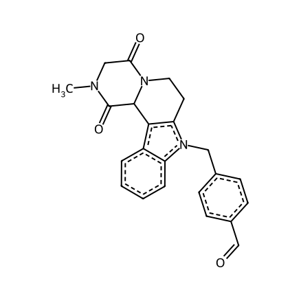 CN1CC(=O)N2CCc3c(c4ccccc4n3Cc3ccc(C=O)cc3)C2C1=O